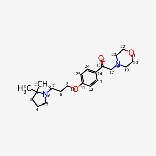 CC1(C)CCCN1CCCOc1ccc(C(=O)CN2CCOCC2)cc1